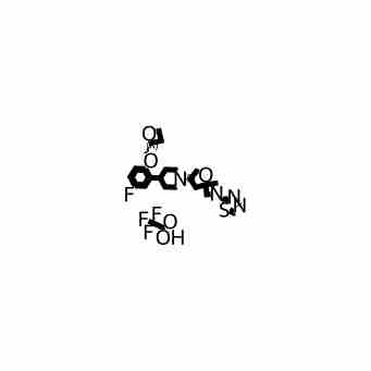 Fc1ccc(OC[C@H]2CCO2)c(C2CCN([C@@H]3COC4(C3)CN(c3nncs3)C4)CC2)c1.O=C(O)C(F)(F)F